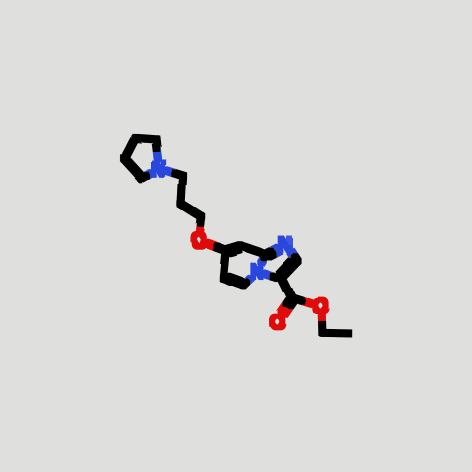 CCOC(=O)c1cnc2cc(OCCCN3CCCC3)ccn12